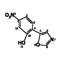 O=[N+]([O-])c1ccc(-c2cnco2)c(O)c1